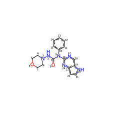 O=C(NN1CCOCC1)N(c1ccccc1)c1ncc2[nH]ccc2n1